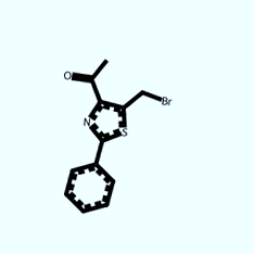 CC(=O)c1nc(-c2ccccc2)sc1CBr